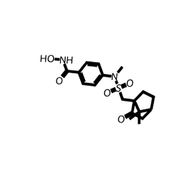 CN(c1ccc(C(=O)NO)cc1)S(=O)(=O)CC12CCC(CC1=O)C2(C)C